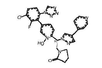 O=C1CCCN1C[C@H](c1ccc(-c2c(-n3cnnn3)ccc(Cl)c2F)c[n+]1O)n1cc(-c2ccncc2)cn1